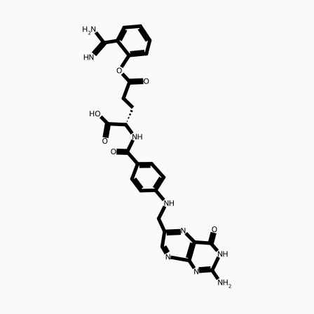 N=C(N)c1ccccc1OC(=O)CC[C@H](NC(=O)c1ccc(NCc2cnc3nc(N)[nH]c(=O)c3n2)cc1)C(=O)O